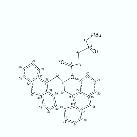 CC(C)(C)CC(=O)CCC(=O)OC(Cc1c2ccccc2cc2ccccc12)Cc1c2ccccc2cc2ccccc12